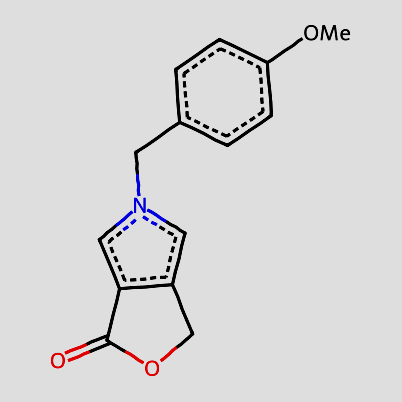 COc1ccc(Cn2cc3c(c2)C(=O)OC3)cc1